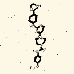 O=C(Nc1ccc(OC(F)(F)F)cc1)N1CCN(c2ccnc(Nc3ccc(C4CNCCO4)cc3)n2)CC1